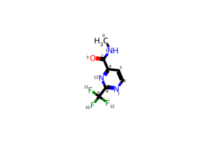 CNC(=O)c1ccnc(C(F)(F)F)n1